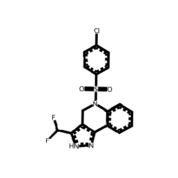 O=S(=O)(c1ccc(Cl)cc1)N1Cc2c(n[nH]c2C(F)F)-c2ccccc21